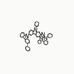 O=c1c2ccccc2n(-c2ccccc2)c2nc3cc4c(cc3n12)c1cc(-n2c3ccccc3c3cc(-c5ccccc5)ccc32)ccc1n4-c1ccccc1